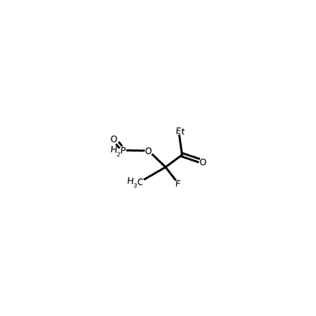 CCC(=O)C(C)(F)O[PH2]=O